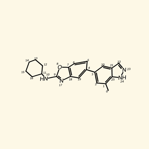 Cc1cc(-c2ccc3oc(NC4CCCCC4)nc3c2)cc2cn[nH]c12